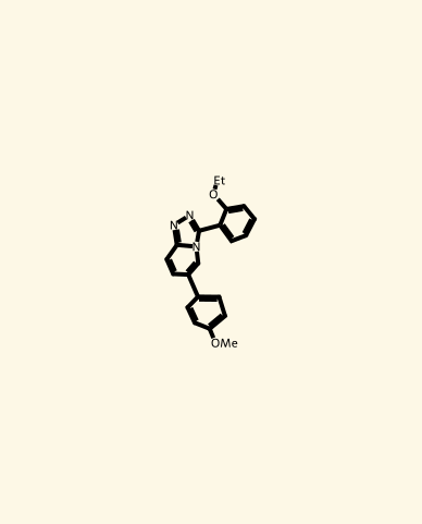 CCOc1ccccc1-c1nnc2ccc(-c3ccc(OC)cc3)cn12